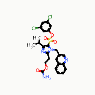 CC(C)c1nc(CCOC(N)=O)n(Cc2cnc3ccccc3c2)c1S(=O)(=O)Oc1cc(Cl)cc(Cl)c1